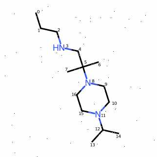 CCCNCC(C)(C)N1CCN(C(C)C)CC1